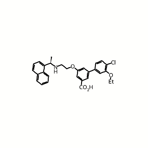 CCOc1cc(-c2cc(OCCN[C@H](C)c3cccc4ccccc34)cc(C(=O)O)c2)ccc1Cl